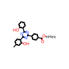 CCCCCCOC(=O)c1ccc(-c2nc(-c3ccccc3O)nc(-c3ccc(C)cc3O)n2)cc1